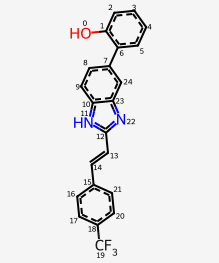 Oc1ccccc1-c1ccc2[nH]c(/C=C/c3ccc(C(F)(F)F)cc3)nc2c1